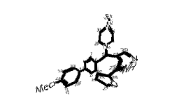 CCN1CCN(C(c2ccc(-c3ccc(OC)cc3)cc2)c2cn[nH]c2-c2ccco2)CC1